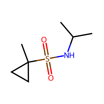 CC(C)NS(=O)(=O)C1(C)CC1